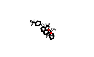 O=C(O)C1CC2CCC(C1)N2Cc1cc2c(C(F)(F)F)c(OC3CCC(C(F)(F)F)CC3)ccc2cc1F